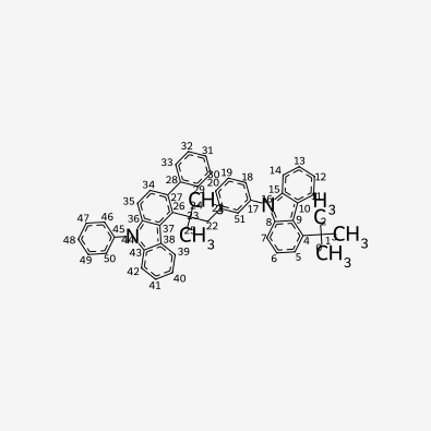 CC(C)(C)c1cccc2c1c1ccccc1n2-c1cccc(CC(C)(C)c2c(-c3ccccc3)ccc3c2c2ccccc2n3-c2ccccc2)c1